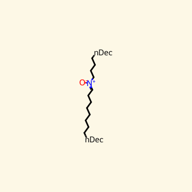 CCCCCCCCCCCCCCCCCC=[N+]([O-])CCCCCCCCCCCCCC